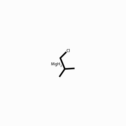 CC(C)CCl.[MgH2]